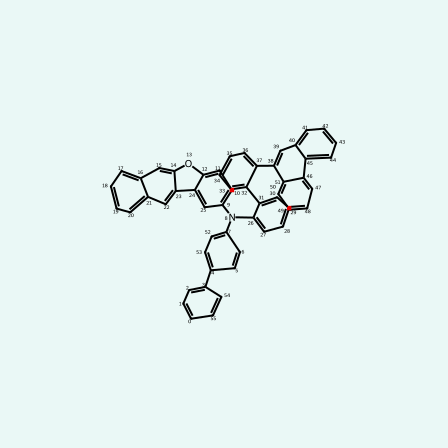 c1ccc(-c2ccc(N(c3ccc4oc5cc6ccccc6cc5c4c3)c3ccccc3-c3ccccc3-c3cc4ccccc4c4ccccc34)cc2)cc1